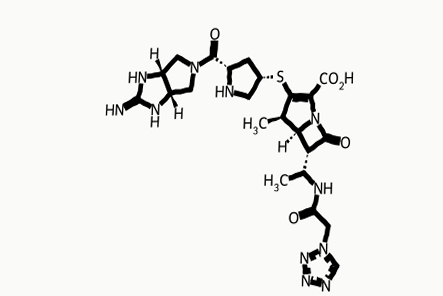 CC(NC(=O)Cn1cnnn1)[C@H]1C(=O)N2C(C(=O)O)=C(S[C@@H]3CN[C@H](C(=O)N4C[C@@H]5NC(=N)N[C@@H]5C4)C3)[C@H](C)[C@H]12